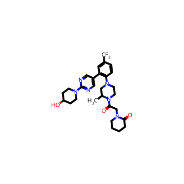 CC1CN(c2ccc(C(F)(F)F)cc2-c2cnc(N3CCC(O)CC3)nc2)CCN1C(=O)CN1CCCCC1=O